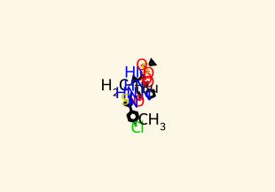 C=C[C@@H]1C[C@]1(NC(=O)[C@@H]1CCCN1C(=O)[C@@H](Nc1nc(-c2ccc(Cl)c(C)c2)cs1)C(C)(C)C)C(=O)NS(=O)(=O)C1CC1